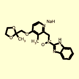 Cc1c(OCC2(C)OCCO2)ccnc1C[S+]([O-])c1nc2ccccc2[nH]1.[NaH]